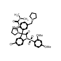 COc1ccc(S(=O)(=O)N2C(=O)C(c3cc(CN4CCCC4)ccc3OC)(N3CCC[C@@H]3OC(=O)N(C)C)c3cc(Cl)ccc32)c(OC)c1